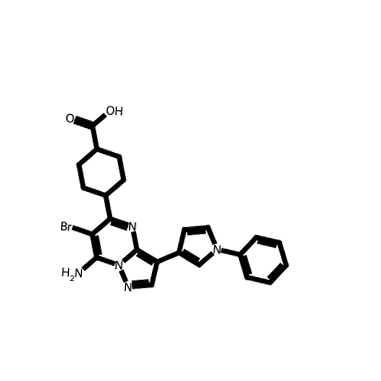 Nc1c(Br)c(C2CCC(C(=O)O)CC2)nc2c(-c3ccn(-c4ccccc4)c3)cnn12